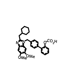 COc1cc2nc(CC3CCCCC3)n(Cc3ccc(-c4ccccc4OC(=O)O)cc3)c2cc1OC